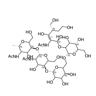 CC(=O)N/C(=C(\O)[C@H](CO)CCO)[C@@H](O)OC1C(O)[C@H](O)C(CO)O[C@@H]1OCC1O[C@@H](O[C@@H]2C(CO)O[C@@H](O[C@@H]3C(CO)O[C@@H](C)C(NC(C)=O)C3O)C(NC(C)=O)C2O)C(O)C(O)[C@@H]1O